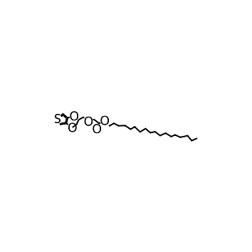 CCCCCCCCCCCCCCCCCCOC(=O)COCC1COc2cscc2O1